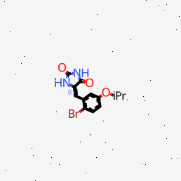 CC(C)Oc1ccc(Br)c(/C=C2/NC(=O)NC2=O)c1